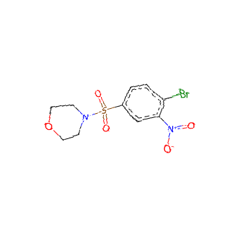 O=[N+]([O-])c1cc(S(=O)(=O)N2CCOCC2)ccc1Br